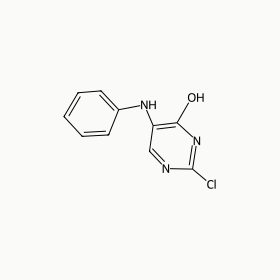 Oc1nc(Cl)ncc1Nc1ccccc1